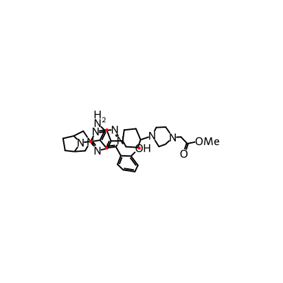 COC(=O)CN1CCN(C2CCC(c3cnc(N4C5CCC4CN(c4cc(-c6ccccc6O)nnc4N)C5)nc3)CC2)CC1